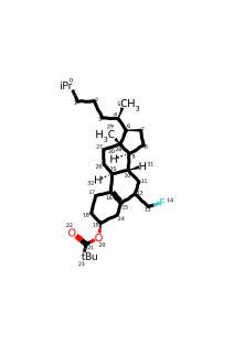 CC(C)CCC[C@@H](C)[C@H]1CC[C@H]2[C@@H]3CC(CF)C4=C(CC[C@H](OC(=O)C(C)(C)C)C4)[C@H]3CC[C@]12C